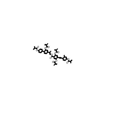 C=C(C)C(=O)Oc1ccc(-c2ccc(/C(C)=C/OC(=O)c3cc(OC(=O)C(=C)C)c(C#Cc4ccc(OC(=O)C(=C)C)cc4C)cc3OC(=O)C(=C)C)cc2OC(=O)C(=C)C)cc1